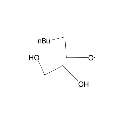 CCCCCC[O].OCCO